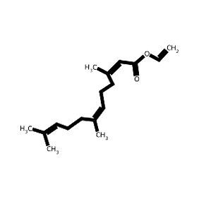 C=COC(=O)C=C(C)CCC=C(C)CCC=C(C)C